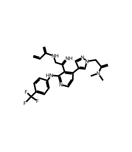 C=CC(=C)NCC(=N)c1c(-c2cnn(CC(=C)N(C)C)c2)ccnc1Nc1ccc(C(F)(F)F)cc1